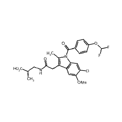 COc1cc2c(CC(=O)NCC(C)C(=O)O)c(C)n(C(=O)c3ccc(OC(F)F)cc3)c2cc1Cl